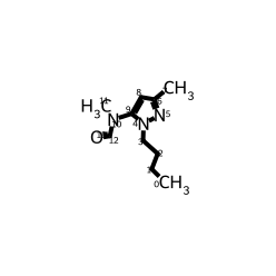 CCCCn1nc(C)cc1N(C)C=O